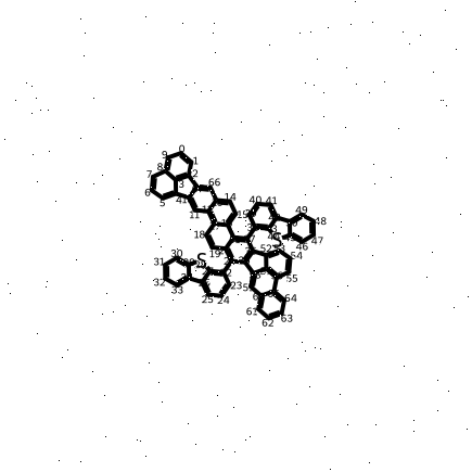 c1cc2c3c(cccc3c1)-c1cc3c(ccc4c3ccc3c(-c5cccc6c5sc5ccccc56)c5c(c(-c6cccc7c6sc6ccccc67)c34)-c3cccc4c3c-5cc3ccccc34)cc1-2